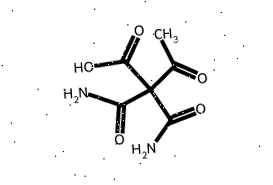 CC(=O)C(C(N)=O)(C(N)=O)C(=O)O